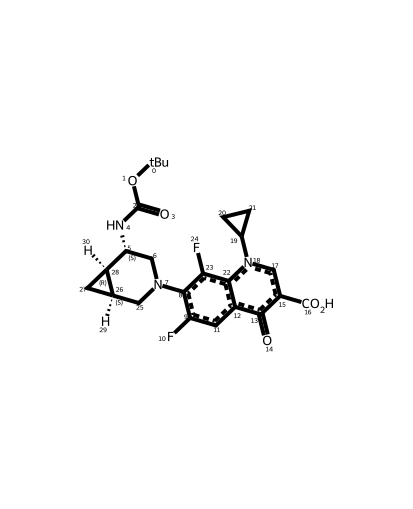 CC(C)(C)OC(=O)N[C@@H]1CN(c2c(F)cc3c(=O)c(C(=O)O)cn(C4CC4)c3c2F)C[C@H]2C[C@H]21